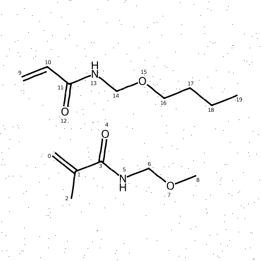 C=C(C)C(=O)NCOC.C=CC(=O)NCOCCCC